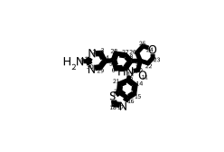 Nc1ncc(-c2ccc(C3(C(=O)Nc4ccc5ncsc5c4)CCOCC3)cc2)cn1